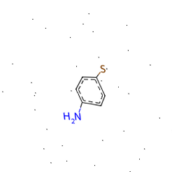 Nc1ccc([S])cc1